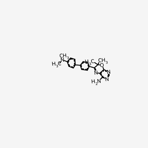 CN(C)c1ccc(-c2ccc(C3=Nc4c(N)ncnc4OC3(C)C)cc2)cc1